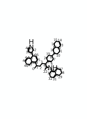 CC(CCC(C1=CCC(C2CCC3C=CCCC3C2)CC1)C(C)NC1=C2CCCCC2=CCC1)C1C=CC(C2C=CNC2)C2C=CCCC12